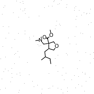 CCC(C)CC1COCC1(CN(C)C)C(=O)OC